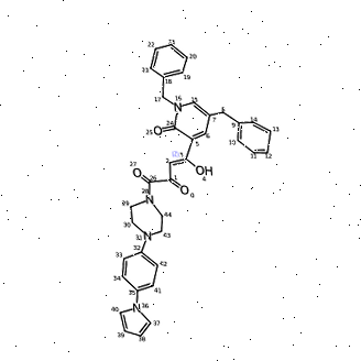 O=C(/C=C(\O)c1cc(Cc2ccccc2)cn(Cc2ccccc2)c1=O)C(=O)N1CCN(c2ccc(-n3cccc3)cc2)CC1